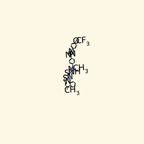 C/C(=N\NC(=S)/N=C1\SCC2=CC(C)c3ccccc3N21)c1ccc(-c2ncn(-c3ccc(OC(F)(F)F)cc3)n2)cc1